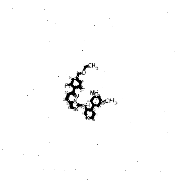 CCOCc1cc(F)c(-c2ccc3cnc(Nc4cnccc4C4C[C@H](C)C[C@H](N)C4)n3n2)c(F)c1